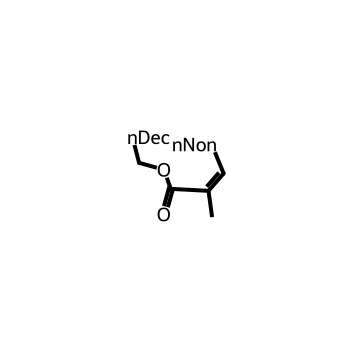 CCCCCCCCCC=C(C)C(=O)OCCCCCCCCCCC